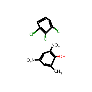 Cc1cc([N+](=O)[O-])cc([N+](=O)[O-])c1O.Clc1cccc(Cl)c1Cl